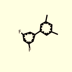 Cc1cc(C)cc(-c2cc(F)cc(F)c2)c1